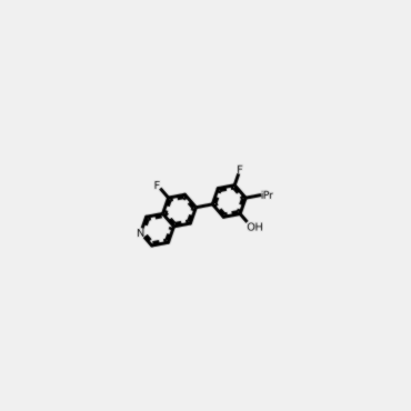 CC(C)c1c(O)cc(-c2cc(F)c3cnccc3c2)cc1F